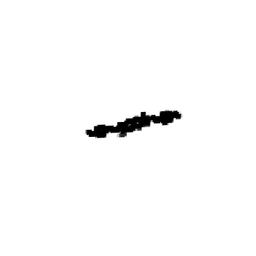 CCc1ccc(CCc2cc3cc4cc5sc(CCc6ccc(CC)cc6)cc5cc4cc3s2)cc1